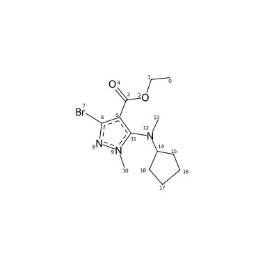 CCOC(=O)c1c(Br)nn(C)c1N(C)C1CCCC1